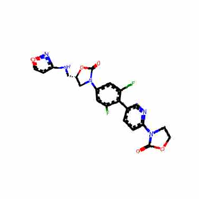 O=C1O[C@@H](CNc2ccon2)CN1c1cc(F)c(-c2ccc(N3CCOC3=O)nc2)c(F)c1